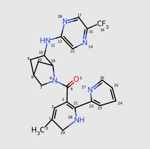 CC1=CC(C(=O)N2CC3CC(Nc4cnc(C(F)(F)F)cn4)C2C3)=C(c2ccccn2)NC1